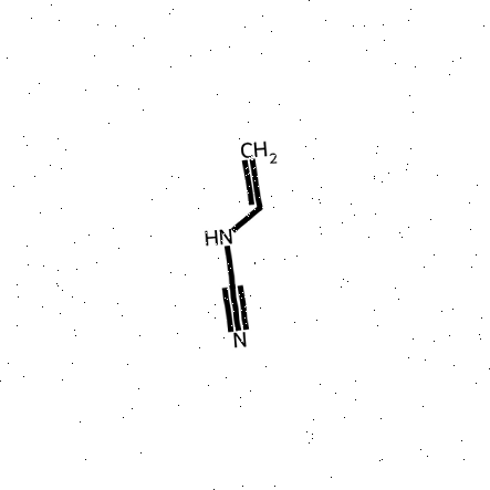 C=CNC#N